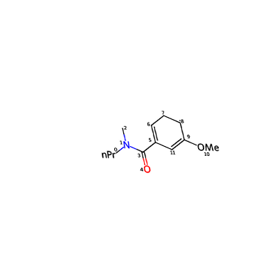 CCCN(C)C(=O)C1=CC[CH]C(OC)=C1